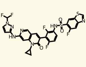 O=c1c(-c2c(F)ccc(NS(=O)(=O)c3cc4scnc4cc3F)c2F)cc2cnc(Nc3ccn(C(F)F)n3)cc2n1C1CC1